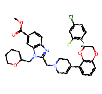 COC(=O)c1ccc2nc(CN3CC=C(c4cccc5c4O[C@H](c4ccc(Cl)cc4F)CO5)CC3)n(CC3CCCCO3)c2c1